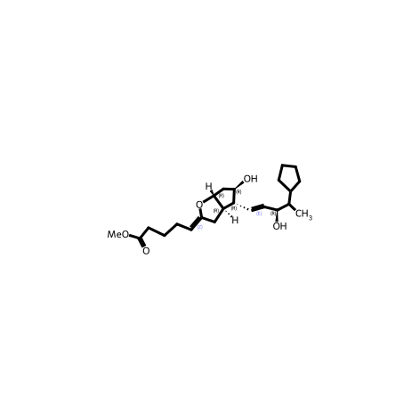 COC(=O)CCC/C=C1/C[C@@H]2[C@@H](/C=C/[C@H](O)C(C)C3CCCC3)[C@H](O)C[C@H]2O1